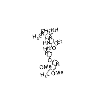 C/C=C(OC)\C(=C/c1cc(Oc2ccc(NC(=O)C(=N)/C(=C\NC3=CNCC=C3CN(C)C)OCC)nc2)ccn1)OC